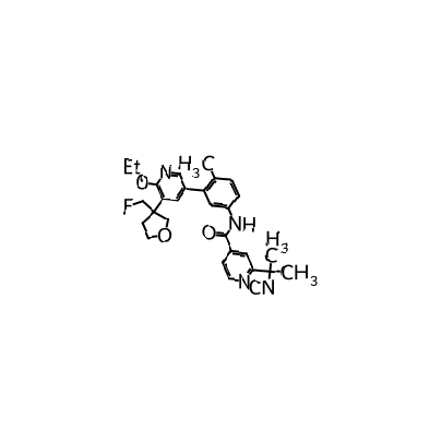 CCOc1ncc(-c2cc(NC(=O)c3ccnc(C(C)(C)C#N)c3)ccc2C)cc1C1(CF)CCOC1